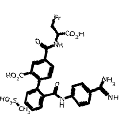 CC(C)CC(NC(=O)c1ccc(-c2ccccc2C(=O)Nc2ccc(C(=N)N)cc2)c(C(=O)O)c1)C(=O)O.CS(=O)(=O)O